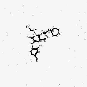 CC(C)CN(C)n1c(=O)c(Oc2ccc(F)cc2F)cc2cnc(NC3CCOCC3)nc21